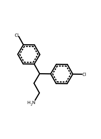 NCCC(c1ccc(Cl)cc1)c1ccc(Cl)cc1